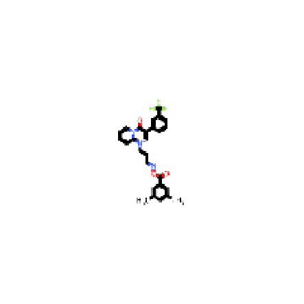 Cc1cc(C)cc(C(=O)ON=CCC[n+]2cc(-c3cccc(C(F)(F)F)c3)c(=O)n3ccccc32)c1